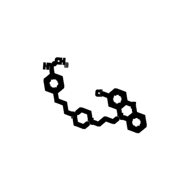 CNc1ccc(CCCN2CCN(CCCN3c4ccccc4Sc4ccc(Cl)cc43)CC2)cc1